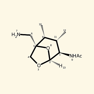 CC(=O)N[C@H]1[C@H]2OC[C@](CN)(O2)[C@H](C)[C@@H]1C